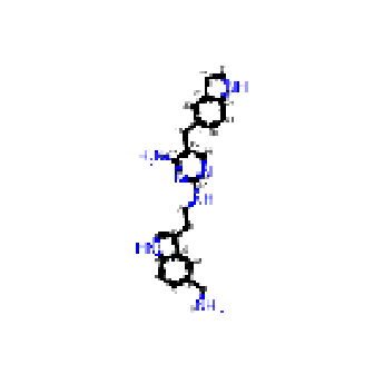 NCc1ccc2[nH]cc(CCNc3ncc(Cc4ccc5[nH]ccc5c4)c(N)n3)c2c1